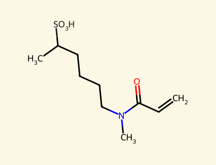 C=CC(=O)N(C)CCCCC(C)S(=O)(=O)O